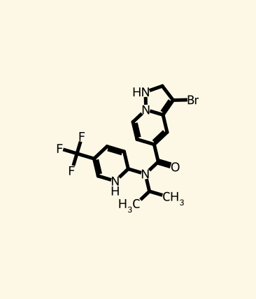 CC(C)N(C(=O)C1=CC2=C(Br)CNN2C=C1)C1C=CC(C(F)(F)F)=CN1